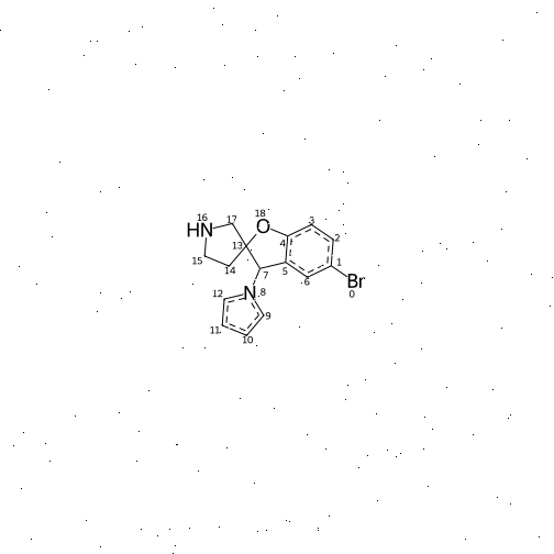 Brc1ccc2c(c1)C(n1cccc1)C1(CCNC1)O2